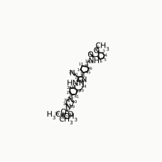 COc1ccccc1C(=O)NCc1ccc(-c2nn3c(c2C#N)Nc2ccc(N4CCN(C(=O)OC(C)(C)C)CC4)cc2CC3)cc1